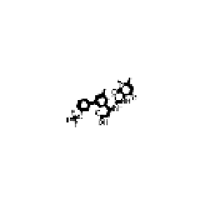 CC1=CC(=O)C(NC(=O)NC(CC(=O)O)c2cc(C)cc(-c3cccc(OC(F)(F)F)c3)c2)C(=O)N1C